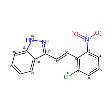 O=[N+]([O-])c1cccc(Cl)c1C=Cc1n[nH]c2ccccc12